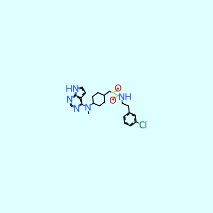 CN(c1ncnc2[nH]ccc12)C1CCC(CS(=O)(=O)NCCc2cccc(Cl)c2)CC1